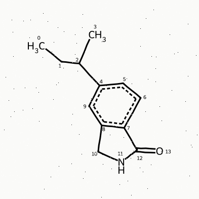 CCC(C)c1ccc2c(c1)CNC2=O